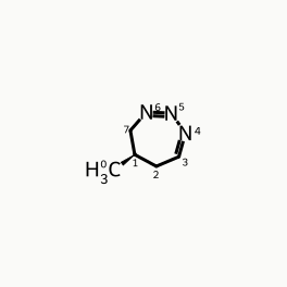 C[C@@H]1CC=NN=NC1